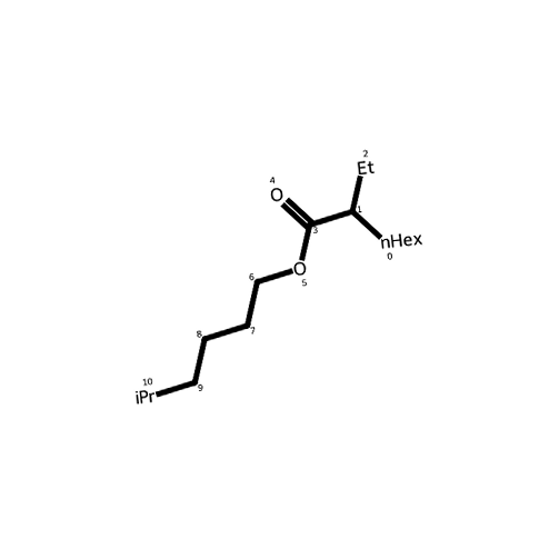 CCCCCCC(CC)C(=O)OCCCCC(C)C